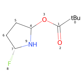 CC(C)(C)C(=O)OC1CC[C@@H](F)N1